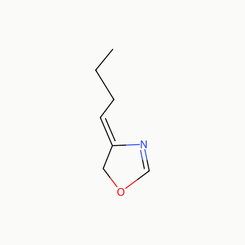 CCCC=C1COC=N1